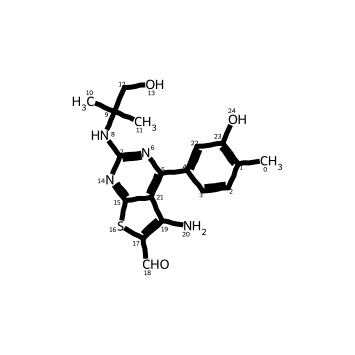 Cc1ccc(-c2nc(NC(C)(C)CO)nc3sc(C=O)c(N)c23)cc1O